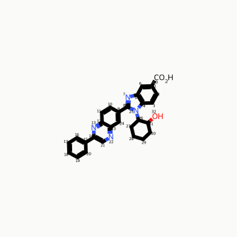 O=C(O)c1ccc2c(c1)nc(-c1ccc3nc(-c4ccccc4)cnc3c1)n2C1CCCCC1O